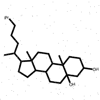 CC(C)CCCC(C)C1CCC2C3CCC4(O)CC(O)CCC4(C)C3CCC12C